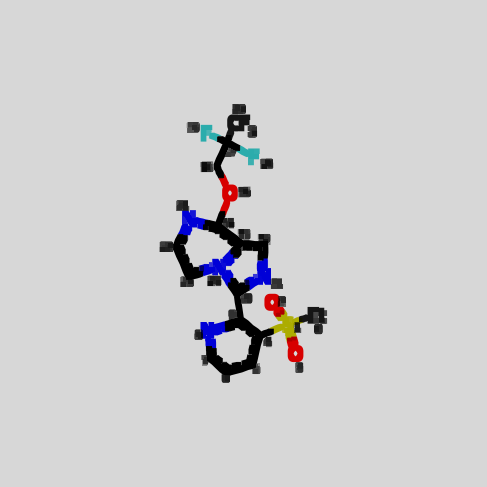 CCS(=O)(=O)c1cccnc1-c1ncc2c(OCC(F)(F)C(F)(F)F)nccn12